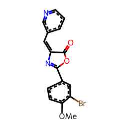 COc1ccc(C2=NC(=Cc3cccnc3)C(=O)O2)cc1Br